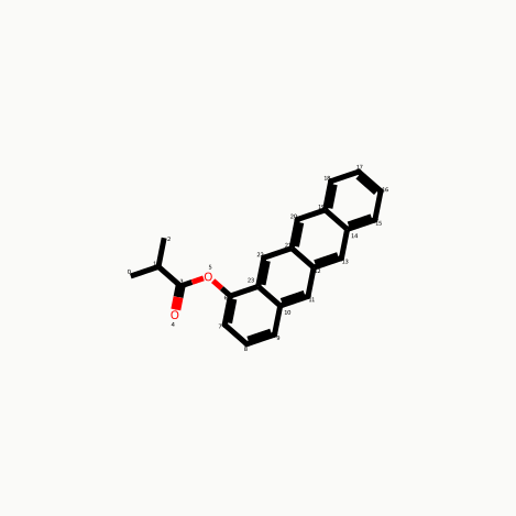 CC(C)C(=O)Oc1cccc2cc3cc4ccccc4cc3cc12